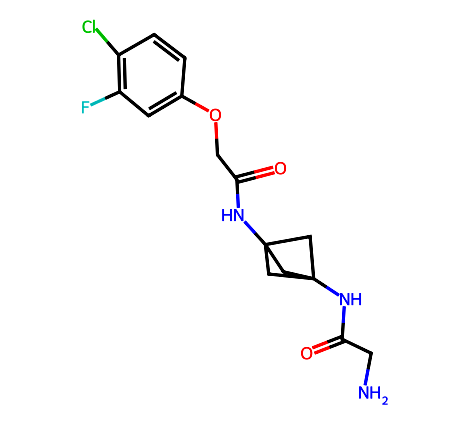 NCC(=O)NC12CC(NC(=O)COc3ccc(Cl)c(F)c3)(C1)C2